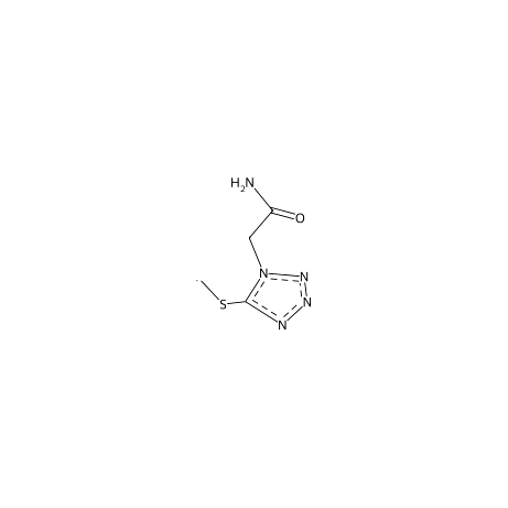 [CH2]Sc1nnnn1CC(N)=O